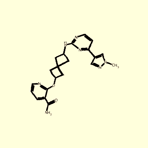 Cn1cc(-c2ccnc(NC3CC4(C3)CC(Oc3ncccc3C(N)=O)C4)n2)cn1